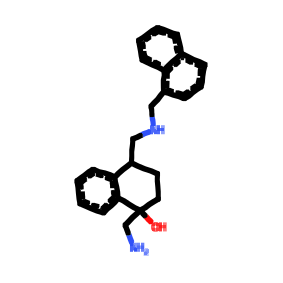 NCC1(O)CCC(CNCc2cccc3ccccc23)c2ccccc21